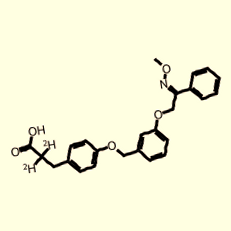 [2H]C([2H])(Cc1ccc(OCc2cccc(OCC(=NOC)c3ccccc3)c2)cc1)C(=O)O